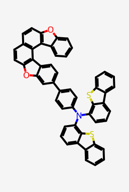 c1ccc2c(c1)oc1ccc3ccc4oc5cc(-c6ccc(N(c7cccc8c7sc7ccccc78)c7cccc8c7sc7ccccc78)cc6)ccc5c4c3c12